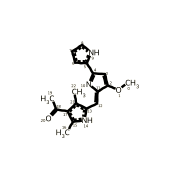 COC1=CC(c2ccc[nH]2)=N/C1=C\c1[nH]c(C)c(C(C)=O)c1C